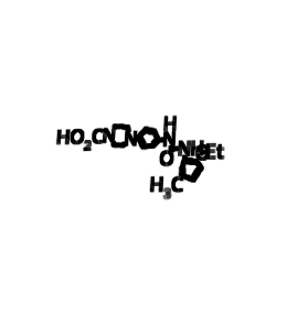 CCOc1ccc(C)cc1NC(=O)Nc1ccc(N2CCN(C(=O)O)CC2)cc1